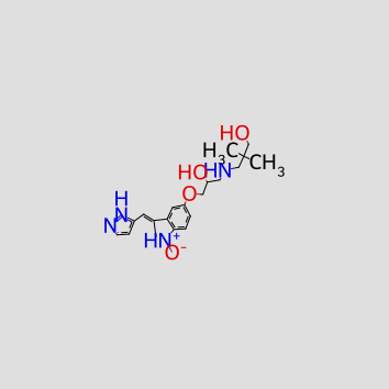 CC(C)(CO)CNCC(O)COc1ccc2c(c1)C(=Cc1ccn[nH]1)C[NH+]2[O-]